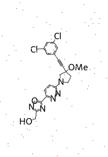 COC1(C#Cc2cc(Cl)cc(Cl)c2)CCN(c2ccc(-c3nc(CO)no3)nn2)C1